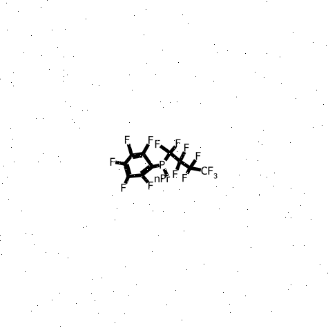 CCCP(c1c(F)c(F)c(F)c(F)c1F)C(F)(F)C(F)(F)C(F)(F)C(F)(F)F